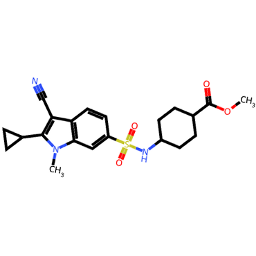 COC(=O)C1CCC(NS(=O)(=O)c2ccc3c(C#N)c(C4CC4)n(C)c3c2)CC1